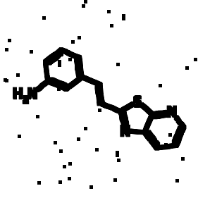 Nc1cccc(C=Cc2nc3cccnc3s2)c1